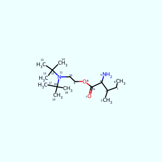 CCC(C)C(N)C(=O)OCCN(C(C)(C)C)C(C)(C)C